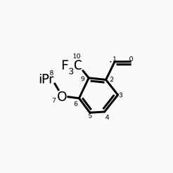 C=[C]c1cccc(OC(C)C)c1C(F)(F)F